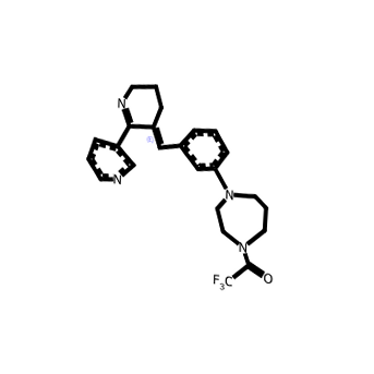 O=C(N1CCCN(c2cccc(/C=C3\CCCN=C3c3cccnc3)c2)CC1)C(F)(F)F